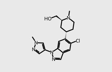 CN1CC[C@H](c2cc3c(cnn3-c3cnn(C)c3)cc2Cl)C[C@H]1CO